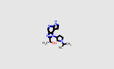 CC(C#N)N1CCC(n2c([C@@H](C)O)nc3cnc4[nH]ccc4c32)C1